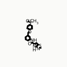 C[S+]([O-])c1ccc(OCc2cccc(NC(=O)c3cc4scnc4[nH]3)c2)cc1